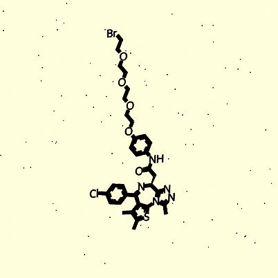 Cc1sc2c(c1C)C(c1ccc(Cl)cc1)=N[C@@H](CC(=O)Nc1ccc(OCCOCCOCCOCCBr)cc1)c1nnc(C)n1-2